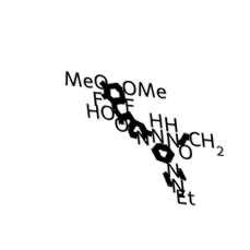 C=CC(=O)Nc1cc(N2CCN(CC)CC2)ccc1Nc1cc2cc(C(O)c3c(F)c(OC)cc(OC)c3F)oc2cn1